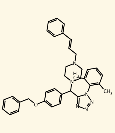 Cc1cccc(C)c1-n1nnnc1C(c1ccc(OCc2ccccc2)cc1)N1CCN(CC=Cc2ccccc2)CC1